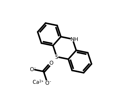 O=C([O-])[O-].[Ca+2].c1ccc2c(c1)Nc1ccccc1S2